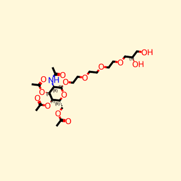 CC(=O)N[C@H]1[C@H](OCCOCCOCCOC[C@@H](O)CO)O[C@H](COC(C)=O)[C@H](OC(C)=O)[C@@H]1OC(C)=O